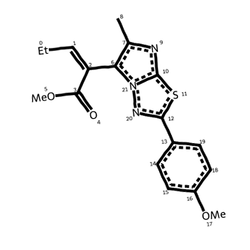 CCC=C(C(=O)OC)c1c(C)nc2sc(-c3ccc(OC)cc3)nn12